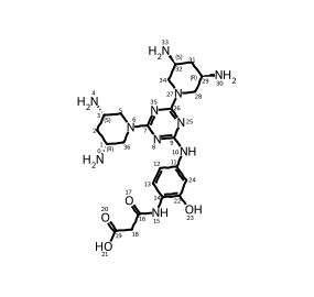 N[C@@H]1C[C@H](N)CN(c2nc(Nc3ccc(NC(=O)CC(=O)O)c(O)c3)nc(N3C[C@H](N)C[C@H](N)C3)n2)C1